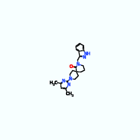 Cc1cc(C)nc(N2CCC3(CCCN(Cc4n[nH]c5ccccc45)C3=O)CC2)n1